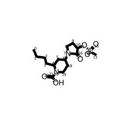 CCCCC1CC(N2CCC(OS(C)(=O)=O)C2=O)CCN1C(=O)O